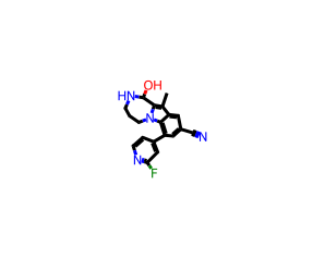 Cc1c2n(c3c(-c4ccnc(F)c4)cc(C#N)cc13)CCCNC2O